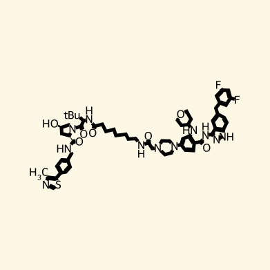 Cc1ncsc1-c1ccc(CNC(=O)[C@@H]2C[C@@H](O)CN2C(=O)C(NC(=O)CCCCCCCNC(=O)CN2CCN(c3ccc(C(=O)Nc4n[nH]c5ccc(Cc6cc(F)cc(F)c6)cc45)c(NC4CCOCC4)c3)CC2)C(C)(C)C)cc1